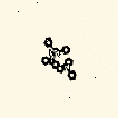 c1ccc(-c2cc(-c3ccccc3)nc(-n3c4ccccc4c4cc5ccc6c(c5cc43)c3ccccc3n6-c3ccccc3)n2)cc1